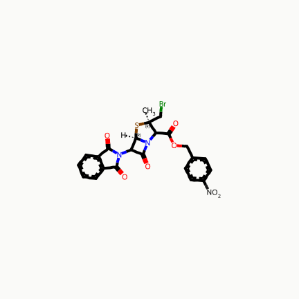 C[C@@]1(CBr)S[C@@H]2C(N3C(=O)c4ccccc4C3=O)C(=O)N2C1C(=O)OCc1ccc([N+](=O)[O-])cc1